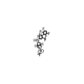 CC(C)(C)OC(=O)N1C[C@H]2CC(Nc3cc(C(F)F)c(-c4cc(F)cc(F)c4F)nn3)C[C@H]2C1